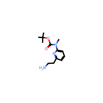 CN(C(=O)OC(C)(C)C)c1cccc(CCN)n1